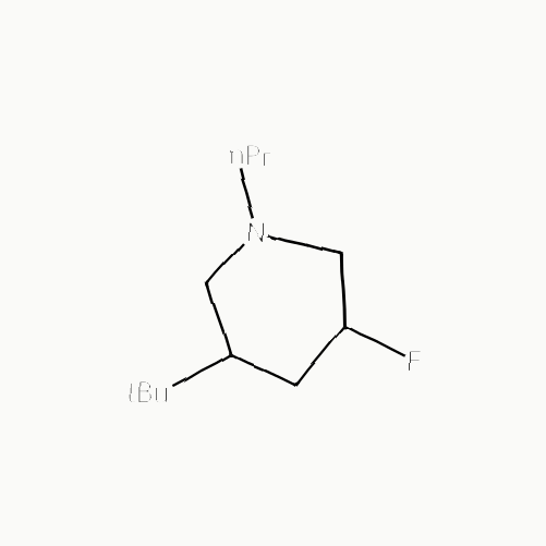 CCCN1CC(F)CC(C(C)(C)C)C1